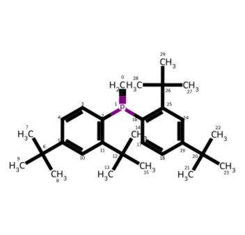 C=[P](c1ccc(C(C)(C)C)cc1C(C)(C)C)c1ccc(C(C)(C)C)cc1C(C)(C)C